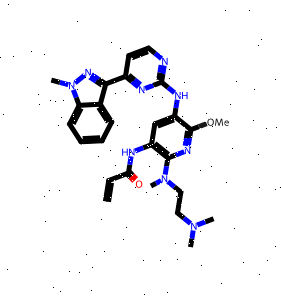 C=CC(=O)Nc1cc(Nc2nccc(-c3nn(C)c4ccccc34)n2)c(OC)nc1N(C)CCN(C)C